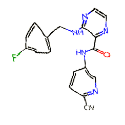 N#Cc1ccc(NC(=O)c2nccnc2NCc2ccc(F)cc2)cn1